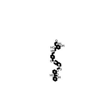 O=C(COc1cccc(C(O)(C(=O)O)c2ccccc2)c1)N1CCCC2(CCN(C(=O)c3ccc(CCNCC(O)c4ccc(O)c5[nH]c(=O)ccc45)cc3)CC2)C1